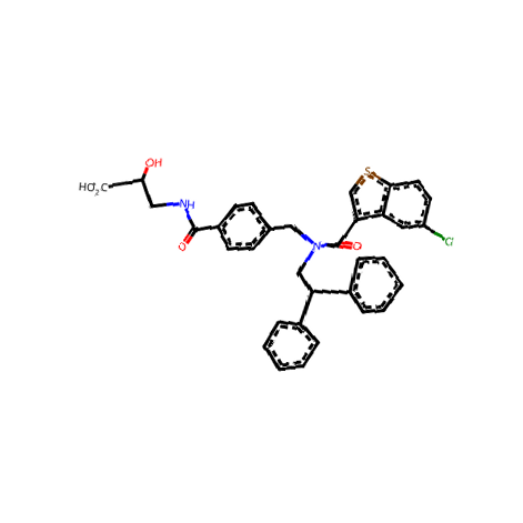 O=C(NCC(O)C(=O)O)c1ccc(CN(CC(c2ccccc2)c2ccccc2)C(=O)c2csc3ccc(Cl)cc23)cc1